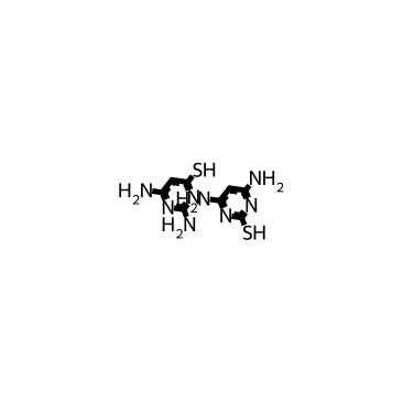 Nc1cc(N)nc(S)n1.Nc1cc(S)nc(N)n1